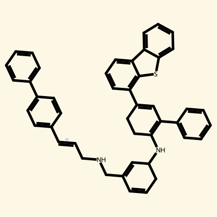 C1=CC(CNC/C=C/c2ccc(-c3ccccc3)cc2)=CC(NC2=C(c3ccccc3)C=C(c3cccc4c3sc3ccccc34)CC2)C1